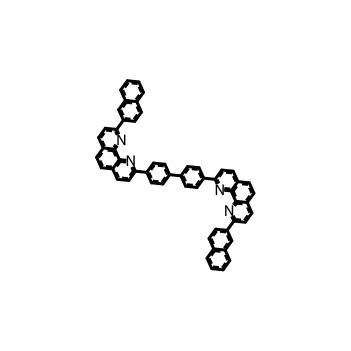 c1ccc2cc(-c3ccc4ccc5ccc(-c6ccc(-c7ccc(-c8ccc9ccc%10ccc(-c%11ccc%12ccccc%12c%11)nc%10c9n8)cc7)cc6)nc5c4n3)ccc2c1